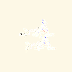 Nc1nc(/C(=N/OCC(=O)O)C(=O)N[C@@H]2C(=O)N3C(C(=O)[O-])=C(CSc4cc(=O)c5ccc(F)cc5s4)CS[C@H]23)cs1.Nc1nc(/C(=N/OCC(=O)O)C(=O)N[C@@H]2C(=O)N3C(C(=O)[O-])=C(CSc4cc(=O)c5ccc(F)cc5s4)CS[C@H]23)cs1.[Na+].[Na+]